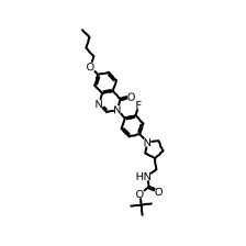 CCCCOc1ccc2c(=O)n(-c3ccc(N4CCC(CNC(=O)OC(C)(C)C)C4)cc3F)cnc2c1